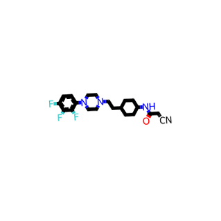 N#CCC(=O)NC1CCC(CCN2CCN(c3ccc(F)c(F)c3F)CC2)CC1